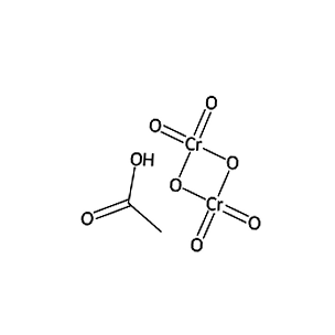 CC(=O)O.[O]=[Cr]1(=[O])[O][Cr](=[O])(=[O])[O]1